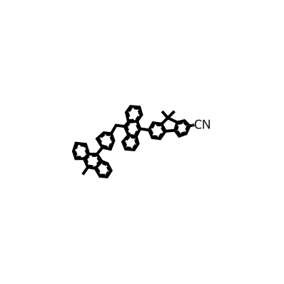 Cc1c2ccccc2c(-c2ccc(Cc3c4ccccc4c(-c4ccc5c(c4)C(C)(C)c4cc(C#N)ccc4-5)c4ccccc34)cc2)c2ccccc12